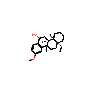 CC[C@@]12CCCC[C@H]1[C@@H]1C[C@H](O)c3c[c]c(OC)cc3[C@H]1CC2